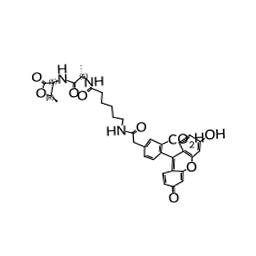 C[C@H](NC(=O)CCCCCNC(=O)Cc1ccc(-c2c3ccc(=O)cc-3oc3cc(O)ccc23)c(C(=O)O)c1)C(=O)N[C@@H]1C(=O)O[C@@H]1C